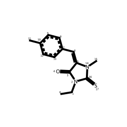 CCN1C(=O)/C(=C\c2ccc(C)cc2)N(C)C1=S